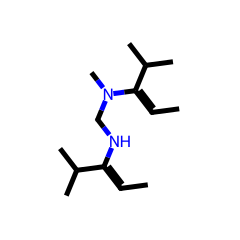 CC=C(NCN(C)C(=CC)C(C)C)C(C)C